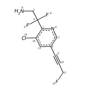 NCC(F)(F)c1ncc(C#CCF)cc1Cl